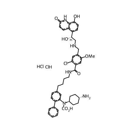 COc1cc(C(=O)NCCCCc2ccc(-c3ccccc3)c(N(C(=O)O)[C@H]3CC[C@H](N)CC3)c2)c(Cl)cc1CNC[C@H](O)c1ccc(O)c2[nH]c(=O)ccc12.Cl.Cl